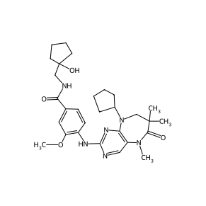 COc1cc(C(=O)NCC2(O)CCCC2)ccc1Nc1ncc2c(n1)N(C1CCCC1)CC(C)(C)C(=O)N2C